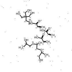 C=CC(=O)O.C=CC(=O)O.C=CC(=O)O.CC(O)COC(C)COC(C)CO.CCC(CO)(CO)CO